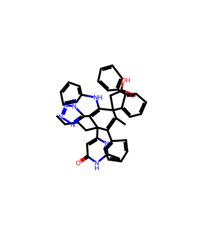 CCCCC1(c2cc(=O)[nH]c(C)n2)C(c2ccccc2)=C(C)C(CC(=O)O)(c2ccccc2-c2ccccc2)C(Nc2ccccc2)=C1c1nnn[nH]1